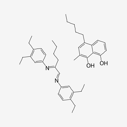 CCCCC(C=Nc1ccc(CC)c(CC)c1)=Nc1ccc(CC)c(CC)c1.CCCCCc1cc(C)c(O)c2c(O)cccc12